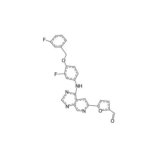 O=Cc1ccc(-c2cc3c(Nc4ccc(OCc5cccc(F)c5)c(F)c4)ncnc3cn2)o1